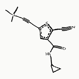 C[Si](C)(C)C#Cc1cc(C(=O)NC2CC2)c(C#N)s1